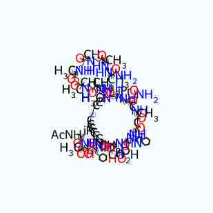 CC(=O)N[C@@H](CC(C)C)C(=O)N[C@H](C(=O)C(=O)[C@H](Cc1ccccc1)NN[C@]1(C)CCCCCC/C=C/CCC[C@@](C)(C(=O)CN[C@@H](C)C(=O)CNC(C)(C)C(=O)CC(=O)[C@H](C)NCCC(=O)[C@H](C)NCCC(=O)[C@H](C)NCN[C@H](C)C(N)=O)NC(=O)[C@H](CC(C)C)NN[C@@H](CCC(N)=O)C(=O)CN[C@@H](C)C(=O)CC(=O)[C@H](Cc2c[nH]c3ccccc23)NN[C@@H](Cc2ccc(O)cc2)C(=O)N[C@@H](CCC(=O)O)C(=O)C1=O)[C@@H](C)O